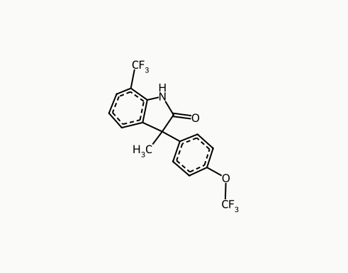 CC1(c2ccc(OC(F)(F)F)cc2)C(=O)Nc2c(C(F)(F)F)cccc21